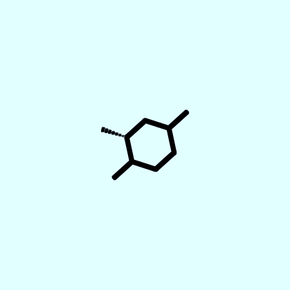 CC1CCC(C)[C@H](C)C1